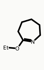 CCOC1=NCCCCC1